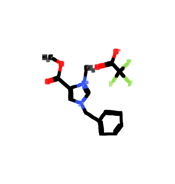 COC(=O)c1cn(Cc2ccccc2)c[n+]1C.O=C([O-])C(F)(F)F